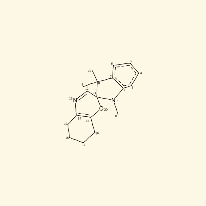 CN1c2ccccc2C(C)(C)C12C=NC1=C(CCCC1)O2